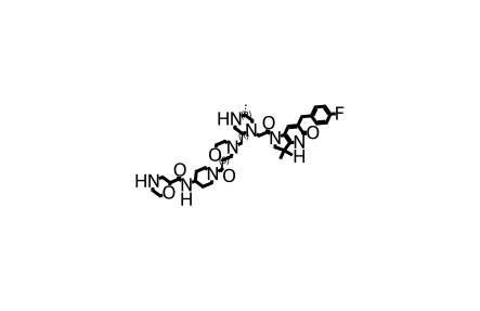 C[C@@H]1CN(CC(=O)N2CC(C)(C)c3[nH]c(=O)c(Cc4ccc(F)cc4)cc32)[C@@H](CN2CCO[C@H](C(=O)N3CCC(NC(=O)C4CNCCO4)CC3)C2)CN1